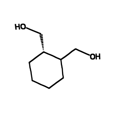 OCC1CCCC[C@@H]1CO